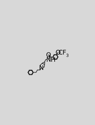 O=C(NCC1C2CN(CCCc3ccccc3)CC12)c1cccc(OC(F)(F)F)c1